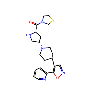 O=C([C@@H]1C[C@H](N2CCC(c3cnoc3-c3ccccn3)CC2)CN1)N1CCSC1